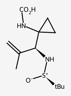 C=C(C)[C@H](N[S@+]([O-])C(C)(C)C)C1(NC(=O)O)CC1